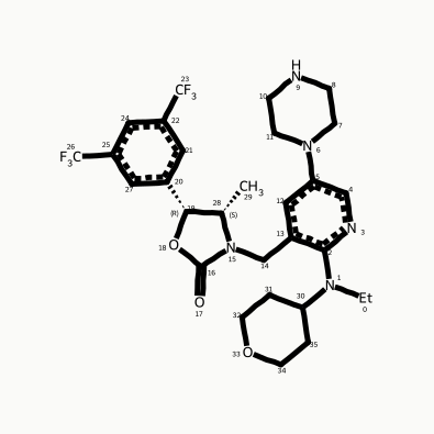 CCN(c1ncc(N2CCNCC2)cc1CN1C(=O)O[C@H](c2cc(C(F)(F)F)cc(C(F)(F)F)c2)[C@@H]1C)C1CCOCC1